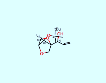 C=C[C@H](O)C12COC([C@H](C)O1)[C@@H]2O[Si](C)(C)C(C)(C)C